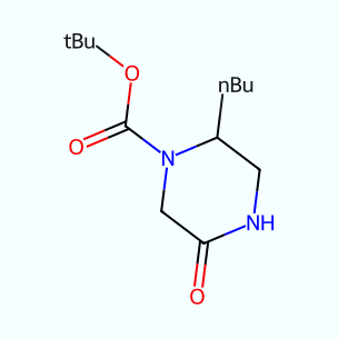 CCCCC1CNC(=O)CN1C(=O)OC(C)(C)C